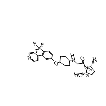 C#C[C@H]1CC[C@@H](C#N)N1C(=O)CN[C@H]1CC[C@H](Oc2ccc(C(F)(F)F)c(-c3ccncc3)c2)CC1